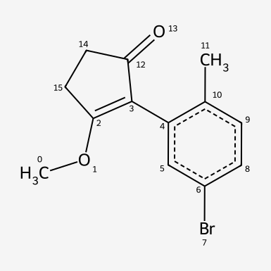 COC1=C(c2cc(Br)ccc2C)C(=O)CC1